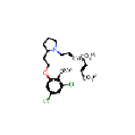 C=CCN1CCCC1CCOc1cc(Cl)cc(Cl)c1OC.O=C(O)C=CC(=O)O